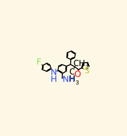 CC(C)(C(=O)c1cccs1)C(c1ccccc1)c1ccc(Nc2ccc(F)cc2)c(C=N)c1